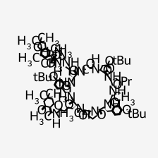 CC(NCCCC[C@@H]1C(=O)N[C@@H](Cc2ccc(OC(C)(C)C)cc2)C(=O)N[C@H](CCCNC(=NN)NS(=O)(=O)c2c(C)c(C)c3c(c2C)CC(C)(C)O3)C(=O)NCC(=O)NC(CC(=O)OC(C)(C)C)C(=O)N[C@H](CC(C)C)C(=O)N[C@@H](C)C(=O)N[C@H](Cc2ccc(OC(C)(C)C)cc2)C(=O)N2CCC[C@@H]2C(=O)N1C)=C1C(=O)CC(C)(C)CC1=O